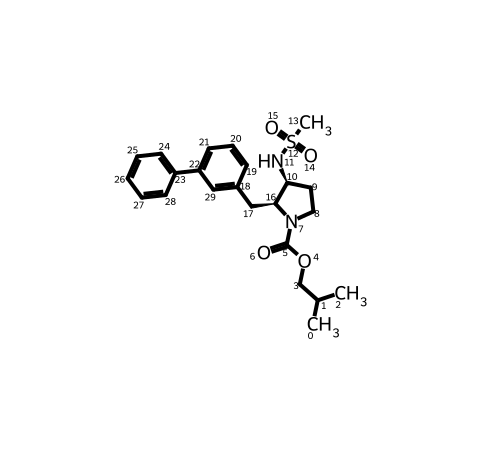 CC(C)COC(=O)N1CC[C@H](NS(C)(=O)=O)[C@@H]1Cc1cccc(-c2ccccc2)c1